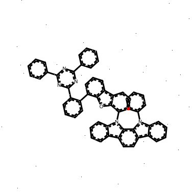 c1ccc(-c2nc(-c3ccccc3)nc(-c3ccccc3-c3cccc4c3oc3c(-n5c6ccccc6c6ccc7c8ccccc8n(-c8ccccc8)c7c65)cccc34)n2)cc1